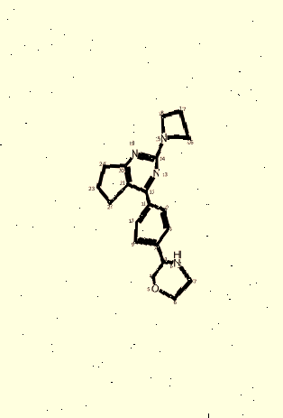 c1cc(C2COCCN2)ccc1-c1nc(N2CCC2)nc2c1CCC2